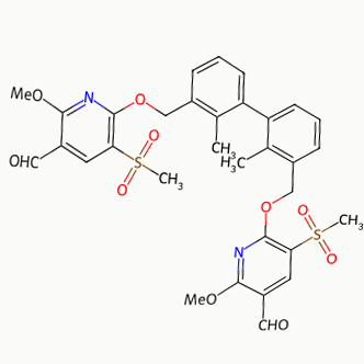 COc1nc(OCc2cccc(-c3cccc(COc4nc(OC)c(C=O)cc4S(C)(=O)=O)c3C)c2C)c(S(C)(=O)=O)cc1C=O